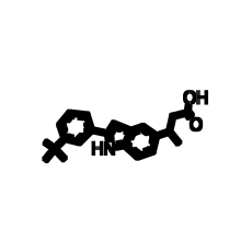 CC(CC(=O)O)c1ccc2[nH]c(-c3cccc(C(C)(C)C)c3)cc2c1